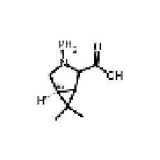 CC1(C)C2C(C(=O)O)N(P)C[C@@H]21